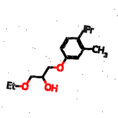 CCOCC(O)COc1ccc(C(C)C)c(C)c1